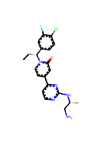 CC[C@H](c1ccc(Cl)c(F)c1)n1ccc(-c2ccnc(N[C@H](C)CN)n2)cc1=O